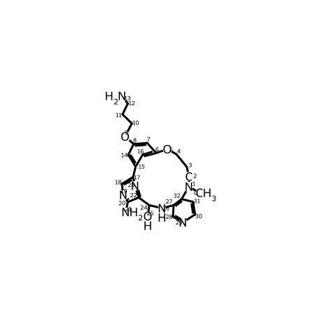 CN1CCCOc2cc(OCCCN)cc(c2)-c2cnc(N)c(n2)C(O)Nc2cnccc21